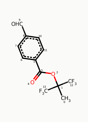 CC(OC(=O)c1ccc(C=O)cc1)(C(F)(F)F)C(F)(F)F